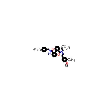 CCOc1ccc(CCN(CCC(=O)O)C(=O)c2ccccc2-c2ccccc2C(=O)NCc2ccc(OC)cc2)cc1OC